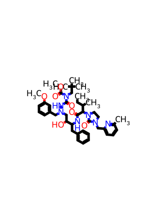 CCC(C)C(C(=O)NC(Cc1ccccc1)C(O)CN(Cc1cccc(OC)c1)NC(=O)N(CC(C)(C)C)C(=O)OC)N1CCN(Cc2cccc(C)n2)C1=O